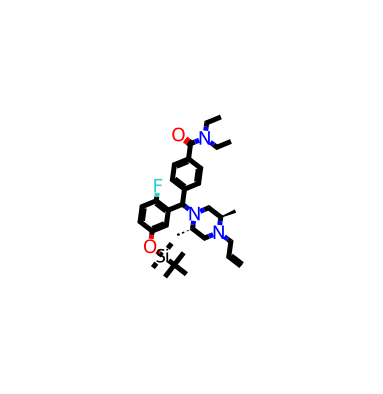 C=CCN1C[C@H](C)N(C(c2ccc(C(=O)N(CC)CC)cc2)c2cc(O[Si](C)(C)C(C)(C)C)ccc2F)C[C@H]1C